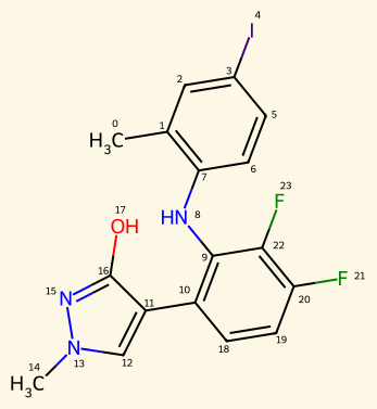 Cc1cc(I)ccc1Nc1c(-c2cn(C)nc2O)ccc(F)c1F